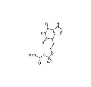 CNC(=O)OC1(OCCn2c(=S)[nH]c(=O)c3[nH]ccc32)CC1